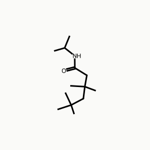 CC(C)NC(=O)CC(C)(C)CC(C)(C)C